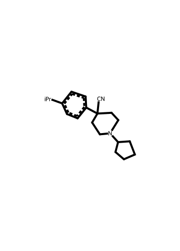 CC(C)c1ccc(C2(C#N)CCN(C3CCCC3)CC2)cc1